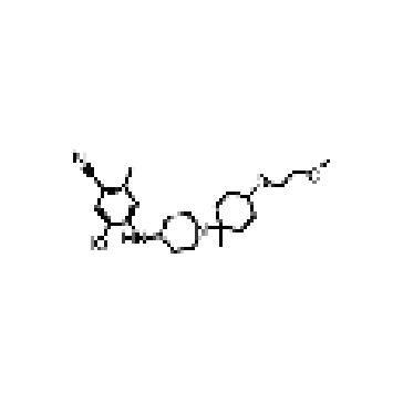 COCCOC1CCC(C)(N2CCC(Nc3cc(C)c(C#N)cc3O)CC2)CC1